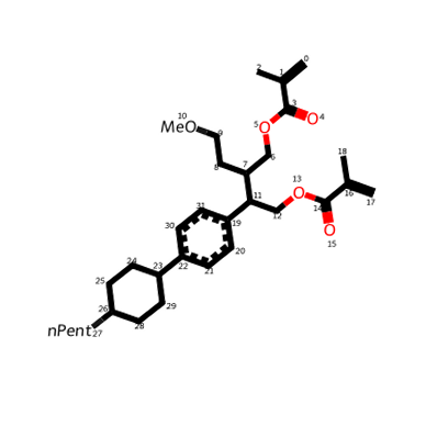 C=C(C)C(=O)OCC(CCOC)C(COC(=O)C(=C)C)c1ccc(C2CCC(CCCCC)CC2)cc1